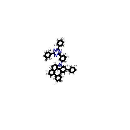 c1ccc(-c2cc3c4c5c6c(cccc6ccc5n(-c5cccc(-c6nc(-c7ccccc7)nc(-c7ccccc7)n6)c5)c4c2)-c2ccccc2-3)cc1